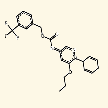 CCCOc1cc(=NC(=O)OCc2cccc(C(F)(F)F)c2)cnn1C1C=CCC=C1